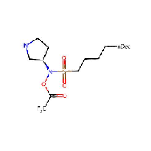 CCCCCCCCCCCCCCS(=O)(=O)N(OC(=O)C(F)(F)F)[C@@H]1CCNC1